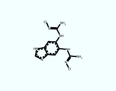 NC(=NCl)Nc1cc2nc[nH]c2cc1NC(N)=NCl